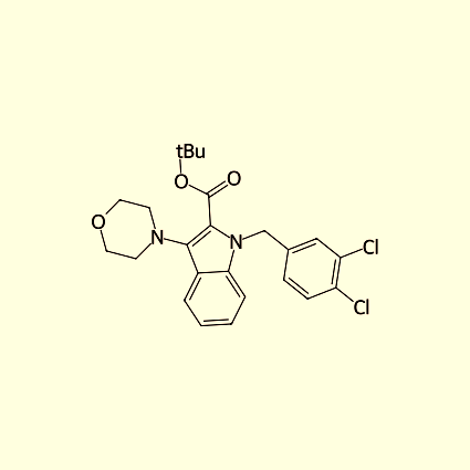 CC(C)(C)OC(=O)c1c(N2CCOCC2)c2ccccc2n1Cc1ccc(Cl)c(Cl)c1